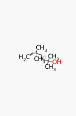 C=CC(C)(C)/C=C/C(C)(C)O